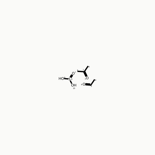 CC(C)=O.CC=O.O=S(O)O